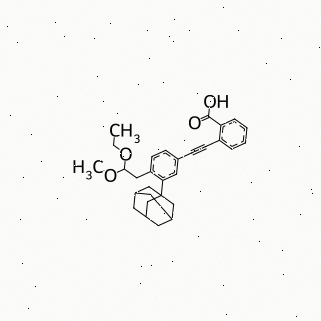 CCOC(Cc1ccc(C#Cc2ccccc2C(=O)O)cc1C12CC3CC(CC(C3)C1)C2)OC